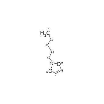 CCCCCC1OC=CO1